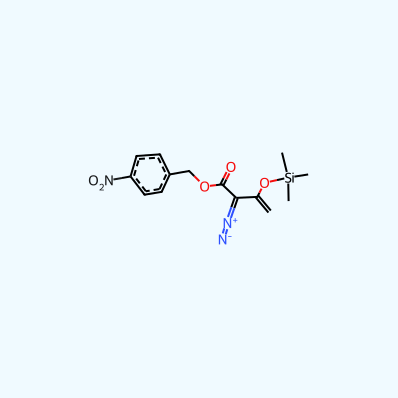 C=C(O[Si](C)(C)C)C(=[N+]=[N-])C(=O)OCc1ccc([N+](=O)[O-])cc1